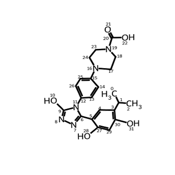 CC(C)c1cc(-c2nnc(O)n2-c2ccc(N3CCN(C(=O)O)CC3)cc2)c(O)cc1O